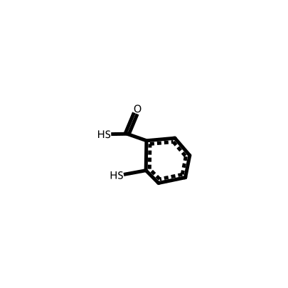 O=C(S)c1ccccc1S